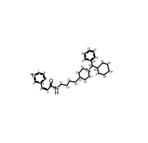 O=C(/C=C\c1cccnc1)NCCCCC1CCN(C(c2ccccc2)C2CCCCC2)CC1